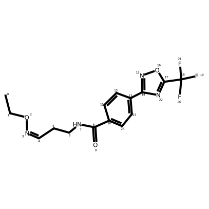 CCO/N=C\CCNC(=O)c1ccc(-c2noc(C(F)(F)F)n2)cc1